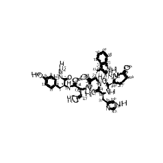 NNC(=O)[C@H](Cc1ccc(O)cc1)NC(=O)[C@H](CO)NC(=O)[C@H](Cc1c[nH]c2ccccc12)NC(=O)[C@H](Cc1c[nH]cn1)NC(=O)[C@@H]1CCC(=O)N1